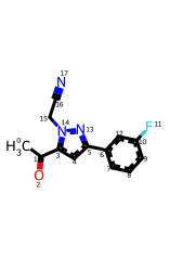 CC(=O)c1cc(-c2cccc(F)c2)nn1CC#N